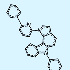 c1ccc(-c2cccc(-n3ccc4ccc5c(c6ccccc6n5-c5ccccc5)c43)n2)cc1